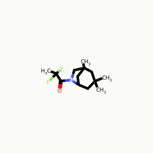 CC1(C)CC2CC(C)(CN2C(=O)C(C)(F)F)C1